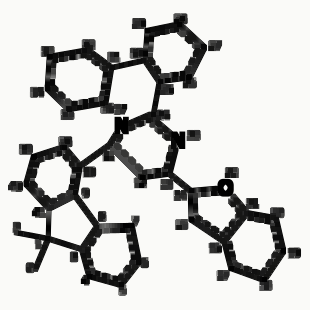 CC1(C)c2ccccc2-c2c(-c3cc(-c4cc5ccccc5o4)nc(-c4ccccc4-c4ccccc4)n3)cccc21